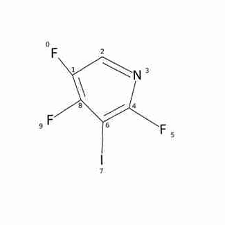 Fc1cnc(F)c(I)c1F